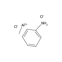 Nc1ccccc1.[CH3][Al+2].[Cl-].[Cl-]